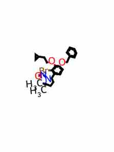 CC1(C)CCC(c2ccc(OCc3ccccc3)c(OCCC3CC3)c2Br)N1N=O